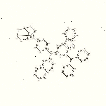 c1ccc(N(c2ccccc2)c2cc(N(c3ccc(C4C5CC6CC(C5)CC4C6)cc3)c3ccc4ccccc4c3)cc3c2oc2ccccc23)cc1